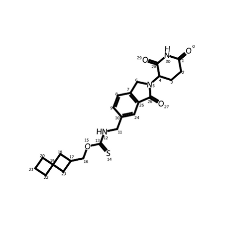 O=C1CCC(N2Cc3ccc(CNC(=S)OCC4CC5(CCC5)C4)cc3C2=O)C(=O)N1